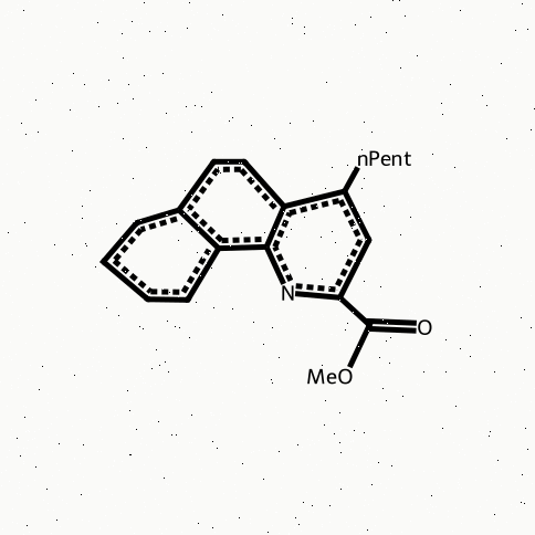 CCCCCc1cc(C(=O)OC)nc2c1ccc1ccccc12